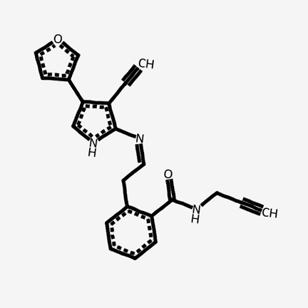 C#CCNC(=O)c1ccccc1C/C=N\c1[nH]cc(-c2ccoc2)c1C#C